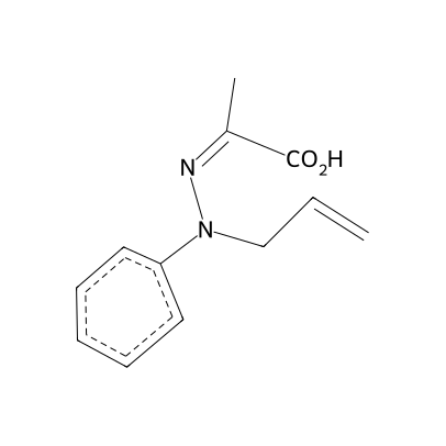 C=CCN(/N=C(/C)C(=O)O)c1ccccc1